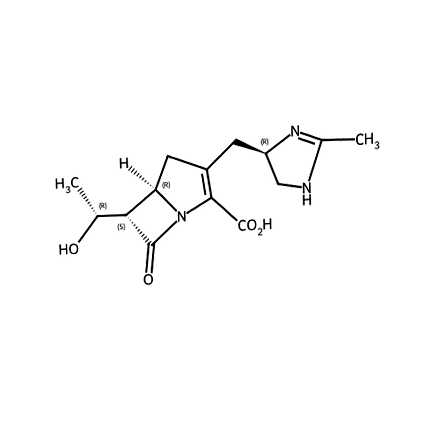 CC1=N[C@H](CC2=C(C(=O)O)N3C(=O)[C@H]([C@@H](C)O)[C@H]3C2)CN1